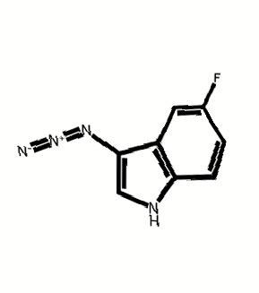 [N-]=[N+]=Nc1c[nH]c2ccc(F)cc12